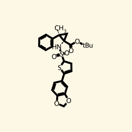 CC(C)(C)OC(=O)[C@]1(NS(=O)(=O)C2CC=C(c3ccc4c(c3)OCO4)S2)C[C@]1(C)c1ccccc1